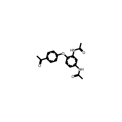 CC(=O)Nc1ccc(Oc2ccc(C(C)=O)cc2)c(NC(C)=O)c1